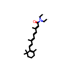 [CH2][CH]N([CH][CH2])C(=O)/C=C(C)/C=C/C=C(C)/C=C/C1=C(C)CCCC1(C)C